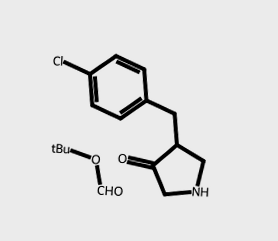 CC(C)(C)OC=O.O=C1CNCC1Cc1ccc(Cl)cc1